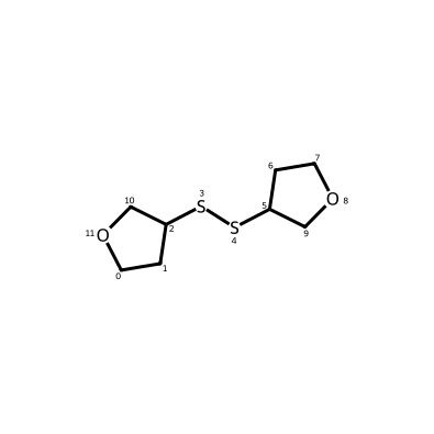 C1CC(SSC2CCOC2)CO1